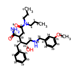 CCCN(CCC)C(=O)CC(C(N)=O)[C@H](Cc1ccccc1)[C@@H](O)CNCc1cccc(OC)c1